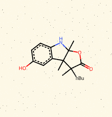 CCCCC1(C)C(=O)OC2(C)Nc3ccc(O)cc3C21C